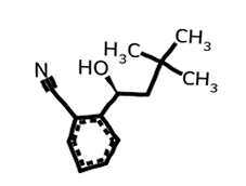 CC(C)(C)C[C@H](O)c1ccccc1C#N